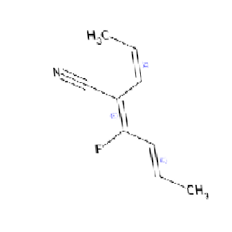 C\C=C/C(C#N)=C(F)\C=C\C